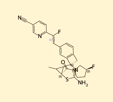 CC1C2[C@@]1(C(=O)N1CC[C@H](F)C1)SC(N)=N[C@@]21Cc2ccc(/C=C(\F)c3ccc(C#N)cn3)cc21